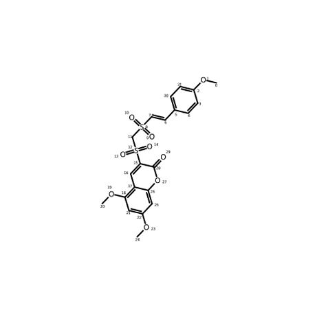 COc1ccc(C=CS(=O)(=O)CS(=O)(=O)c2cc3c(OC)cc(OC)cc3oc2=O)cc1